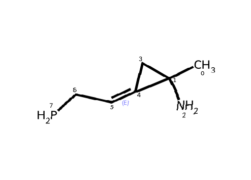 CC1(N)C/C1=C\CP